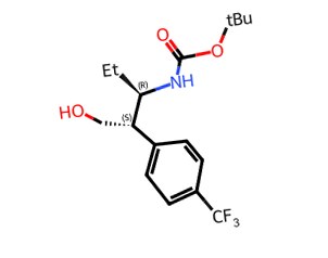 CC[C@@H](NC(=O)OC(C)(C)C)[C@@H](CO)c1ccc(C(F)(F)F)cc1